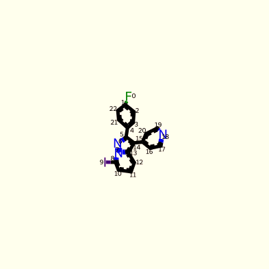 Fc1ccc(-c2nn3c(I)cccc3c2-c2ccncc2)cc1